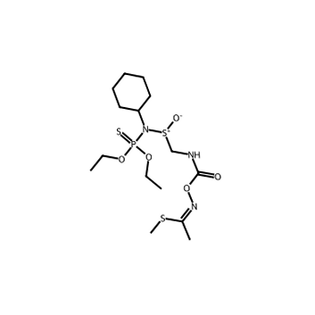 CCOP(=S)(OCC)N(C1CCCCC1)[S+]([O-])CNC(=O)ON=C(C)SC